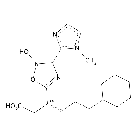 Cn1ccnc1C1N=C([C@H](CCCC2CCCCC2)CC(=O)O)ON1O